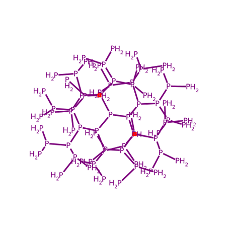 PPP(P)P(P(P)P)P(P(P(P(P)P)P(P)P)P(P(P)P)P(P)P)P(P(P(P(P)P)P(P)P)P(P(P)P)P(P)P)P(P(P(P(P)P)P(P)P)P(P(P)P)P(P)P)P(P(P(P)P)P(P)P)P(P(P)P)P(P)P